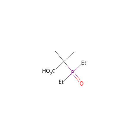 CCP(=O)(CC)C(C)(C)C(=O)O